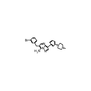 CN1CCN(c2cccc(-c3cnn4c(N)c(Cc5cccc(Br)c5)cnc34)c2)CC1